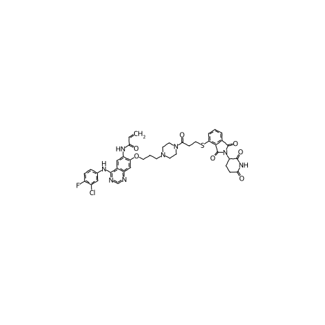 C=CC(=O)Nc1cc2c(Nc3ccc(F)c(Cl)c3)ncnc2cc1OCCCN1CCN(C(=O)CCSc2cccc3c2C(=O)N(C2CCC(=O)NC2=O)C3=O)CC1